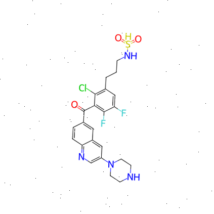 O=C(c1ccc2ncc(N3CCNCC3)cc2c1)c1c(F)c(F)cc(CCCN[SH](=O)=O)c1Cl